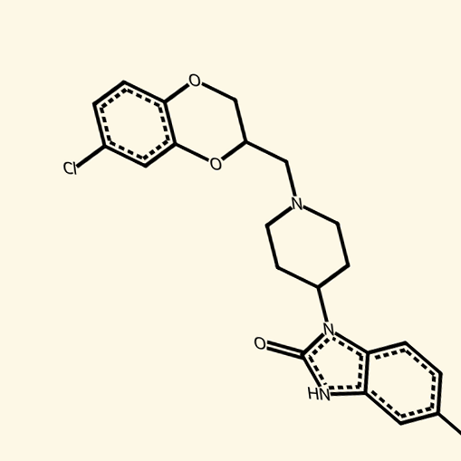 O=c1[nH]c2cc(F)ccc2n1C1CCN(CC2COc3ccc(Cl)cc3O2)CC1